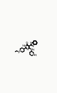 CCSN1CCC(c2nc(NC3CCCNC3)c(-c3nc4ccccc4s3)c(=O)[nH]2)CC1